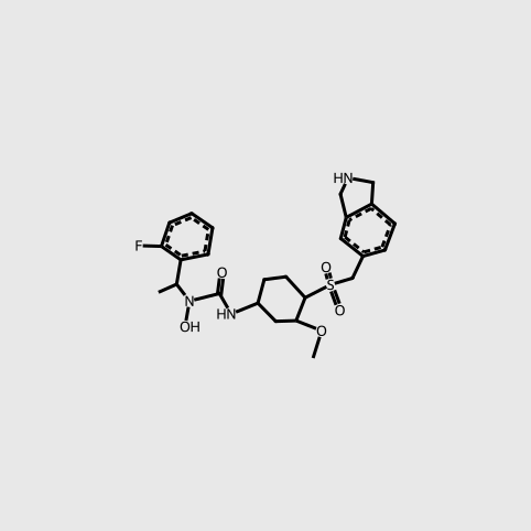 COC1CC(NC(=O)N(O)C(C)c2ccccc2F)CCC1S(=O)(=O)Cc1ccc2c(c1)CNC2